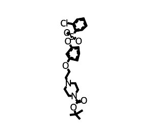 CC(C)(C)OC(=O)N1CCN(CCOc2cccc(OS(=O)(=O)c3ccccc3Cl)c2)CC1